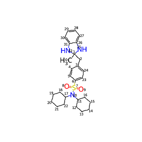 CC1(Cc2ccc(S(=O)(=O)N(C3CCCCC3)C3CCCCC3)cc2)Nc2ccccc2N1